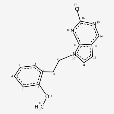 COc1ccccc1CCn1ccc2cnc(Cl)nc21